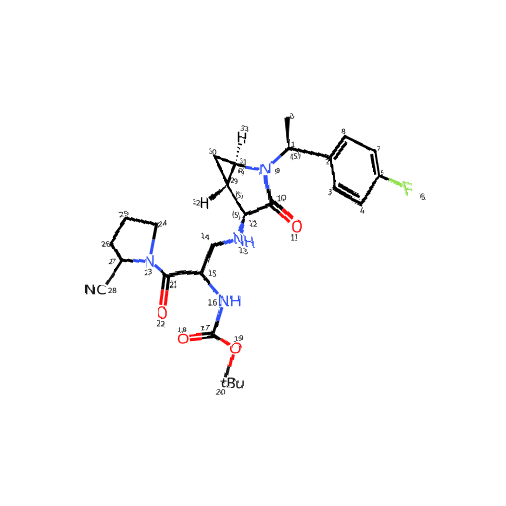 C[C@@H](c1ccc(F)cc1)N1C(=O)[C@@H](NCC(NC(=O)OC(C)(C)C)C(=O)N2CCCC2C#N)[C@@H]2C[C@H]21